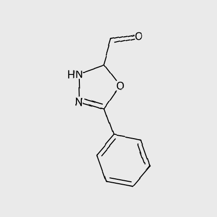 O=CC1NN=C(c2ccccc2)O1